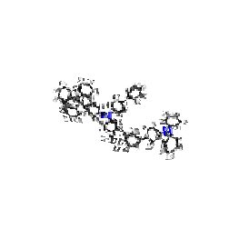 C[Si]1(C)c2ccc(-c3ccc4c(c3)c3ccccc3n4-c3ccccc3)cc2-c2cc(N(c3ccc(-c4ccccc4)cc3)c3ccc4c(c3)-c3ccccc3[Si]4(c3ccccc3)c3ccccc3)ccc21